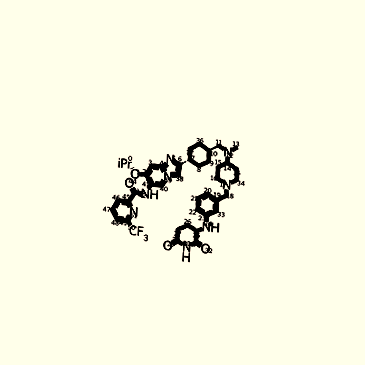 CC(C)Oc1cc2nc([C@H]3CC[C@H](CN(C)C4CCN(Cc5cccc(NC6CCC(=O)NC6=O)c5)CC4)CC3)cn2cc1NC(=O)c1cccc(C(F)(F)F)n1